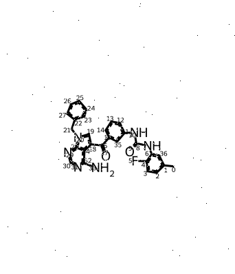 Cc1ccc(F)c(NC(=O)Nc2cccc(C(=O)c3cn(Cc4ccccc4)c4ncnc(N)c34)c2)c1